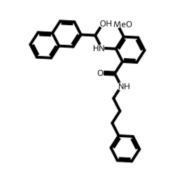 COc1cccc(C(=O)NCCCc2ccccc2)c1NC(O)c1ccc2ccccc2c1